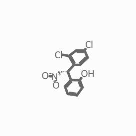 O=[N+]([O-])C[C@@H](c1ccccc1O)c1ccc(Cl)cc1Cl